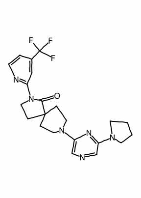 O=C1N(c2cc(C(F)(F)F)ccn2)CCC12CCN(c1cncc(N3CCCC3)n1)CC2